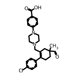 CC1(C=O)CCC(c2ccc(Cl)cc2)=C(CN2CCN(c3ccc(C(=O)O)cc3)CC2)C1